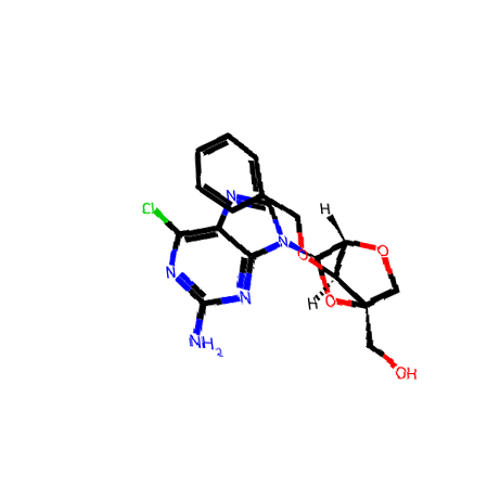 Nc1nc(Cl)c2ncn([C@@H]3O[C@@]4(CO)CO[C@@H]3[C@@H]4OCc3ccccc3)c2n1